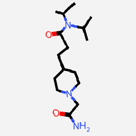 CC(C)N(C(=O)CCC1CCN(CC(N)=O)CC1)C(C)C